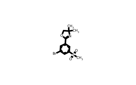 CC1(C)COC(c2cc(Br)cc(S(C)(=O)=O)c2)=N1